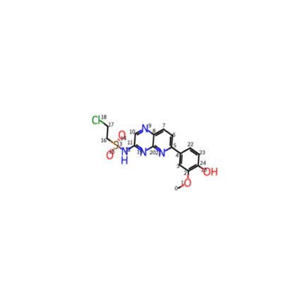 COc1cc(-c2ccc3ncc(NS(=O)(=O)CCCl)nc3n2)ccc1O